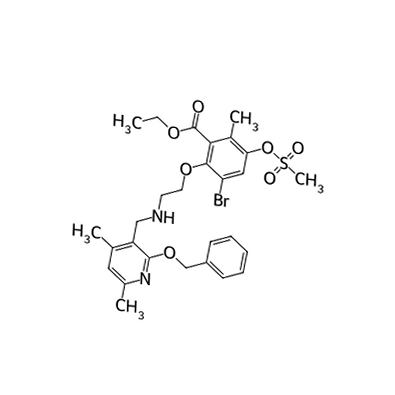 CCOC(=O)c1c(C)c(OS(C)(=O)=O)cc(Br)c1OCCNCc1c(C)cc(C)nc1OCc1ccccc1